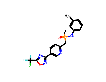 Cc1cccc(NP(C)(=O)Cc2ccc(-c3noc(C(F)(F)Cl)n3)cn2)c1